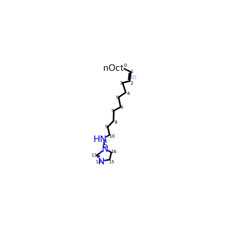 CCCCCCCC/C=C\CCCCCCCCNN1C=NCC1